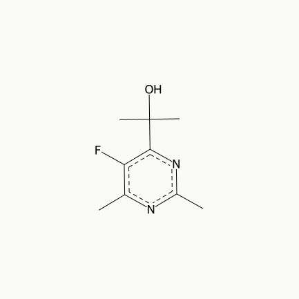 Cc1nc(C)c(F)c(C(C)(C)O)n1